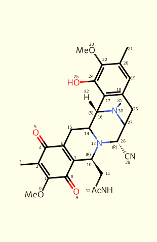 COC1=C(C)C(=O)C2=C(C1=O)[C@H](CNC(C)=O)N1C(C2)[C@@H]2c3c(cc(C)c(OC)c3O)CC([C@@H]1C#N)N2C